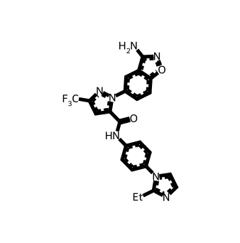 CCc1nccn1-c1ccc(NC(=O)c2cc(C(F)(F)F)nn2-c2ccc3onc(N)c3c2)cc1